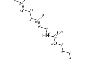 CCCCOC(=O)NC/C=C(\C)CCC=C(C)C